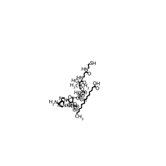 CC(C)(COP(=O)(O)OP(=O)(O)OC[C@H]1O[C@@H](n2cnc3c(N)ncnc32)[C@H](O)[C@@H]1OP(=O)(O)O)[C@@H](O)C(=O)NCCC(=O)NCCS.CCCCCCCCCCCCCCC(=O)O